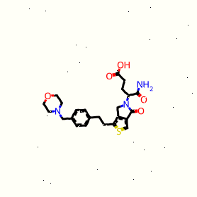 NC(=O)C(CCC(=O)O)N1Cc2c(csc2CCc2ccc(CN3CCOCC3)cc2)C1=O